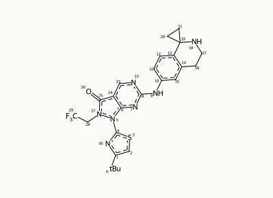 CC(C)(C)c1csc(-n2c3nc(Nc4ccc5c(c4)CCNC54CC4)ncc3c(=O)n2CC(F)(F)F)n1